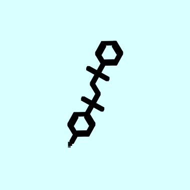 CC(C)(CCC(C)(C)c1ccc(F)cc1)c1ccccc1